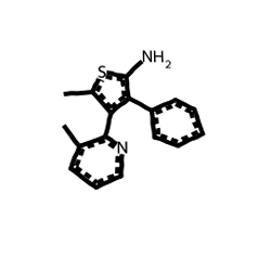 Cc1cccnc1-c1c(C)sc(N)c1-c1ccccc1